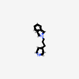 c1ccc2cn(CCCc3ccncc3)cc2c1